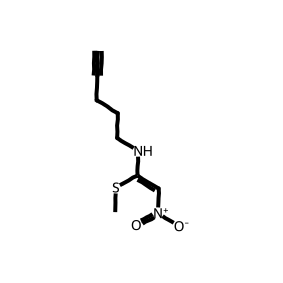 C#CCCCNC(=C[N+](=O)[O-])SC